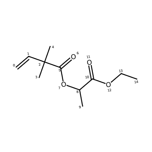 C=CC(C)(C)C(=O)OC(C)C(=O)OCC